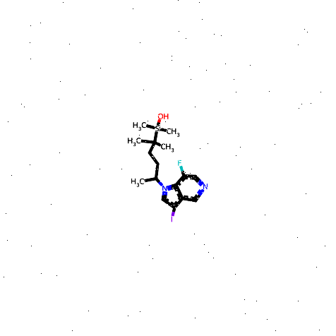 CC(CCC(C)(C)[Si](C)(C)O)n1cc(I)c2cncc(F)c21